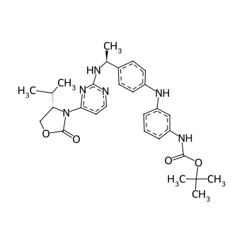 CC(C)[C@H]1COC(=O)N1c1ccnc(N[C@@H](C)c2ccc(Nc3cccc(NC(=O)OC(C)(C)C)c3)cc2)n1